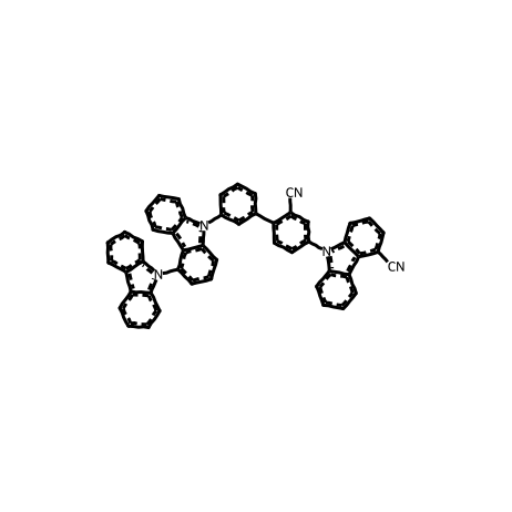 N#Cc1cc(-n2c3ccccc3c3c(C#N)cccc32)ccc1-c1cccc(-n2c3ccccc3c3c(-n4c5ccccc5c5ccccc54)cccc32)c1